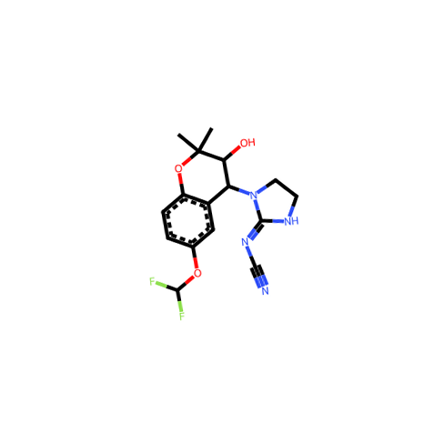 CC1(C)Oc2ccc(OC(F)F)cc2C(N2CCN/C2=N\C#N)C1O